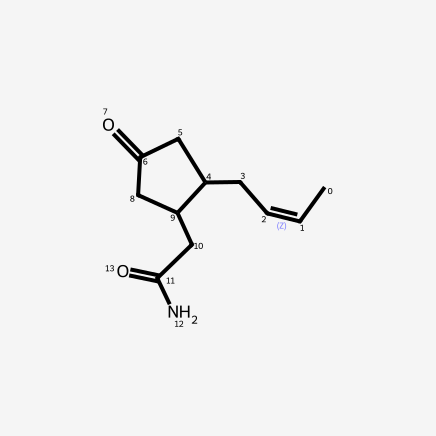 C/C=C\CC1CC(=O)CC1CC(N)=O